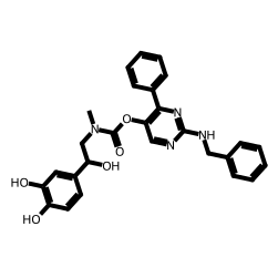 CN(CC(O)c1ccc(O)c(O)c1)C(=O)Oc1cnc(NCc2ccccc2)nc1-c1ccccc1